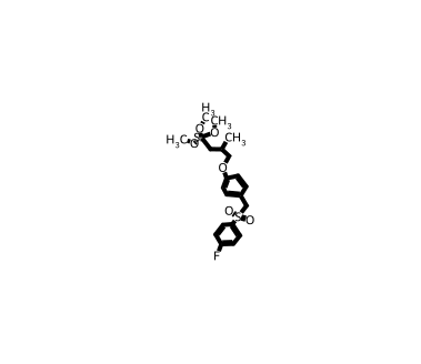 CO[Si](CC(C)COc1ccc(CS(=O)(=O)c2ccc(F)cc2)cc1)(OC)OC